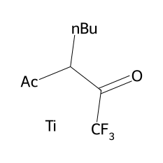 CCCCC(C(C)=O)C(=O)C(F)(F)F.[Ti]